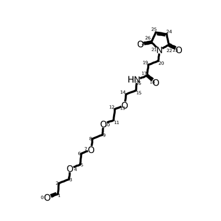 O=CCCOCCOCCOCCOCCNC(=O)CCN1C(=O)C=CC1=O